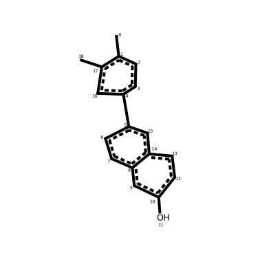 Cc1ccc(-c2ccc3cc(O)ccc3c2)cc1C